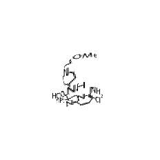 CCCC1(C(=O)NC2CCN(CCCOC)CC2)CN2C(=N1)C=CC(Cl)=C2N.Cl